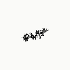 CCc1cc(-c2cc(Oc3ccc4c(C)nn(C)c4c3)ccn2)ccc1C(=O)NC1CN(C)C1